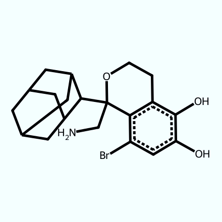 NCC1(C2C3CC4CC(C3)CC2C4)OCCc2c(O)c(O)cc(Br)c21